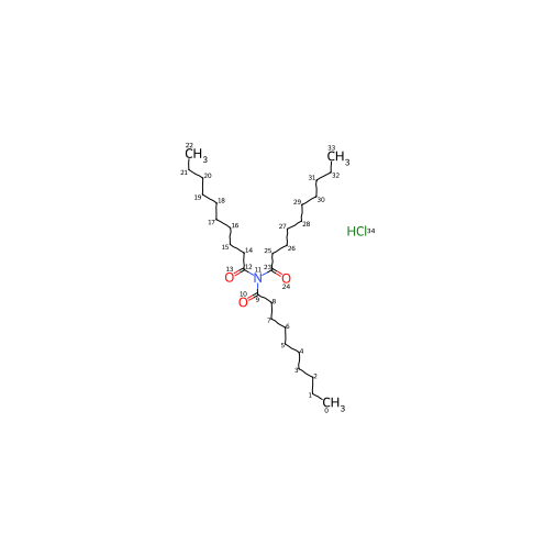 CCCCCCCCCC(=O)N(C(=O)CCCCCCCCC)C(=O)CCCCCCCCC.Cl